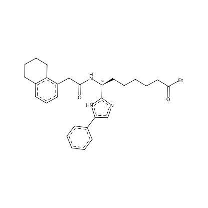 CCC(=O)CCCCC[C@H](NC(=O)Cc1cccc2c1CCCC2)c1ncc(-c2ccccc2)[nH]1